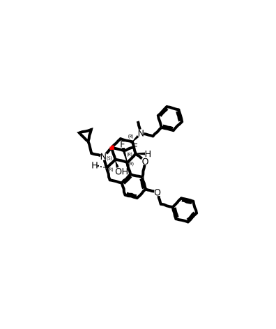 CN(Cc1ccccc1)[C@@H]1CC[C@@]2(O)[C@H]3Cc4ccc(OCc5ccccc5)c5c4[C@]2([C@H]1O5)C(F)(F)CN3CC1CC1